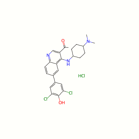 CC(=O)c1cnc2ccc(-c3cc(Cl)c(O)c(Cl)c3)cc2c1NC1CCC(N(C)C)CC1.Cl